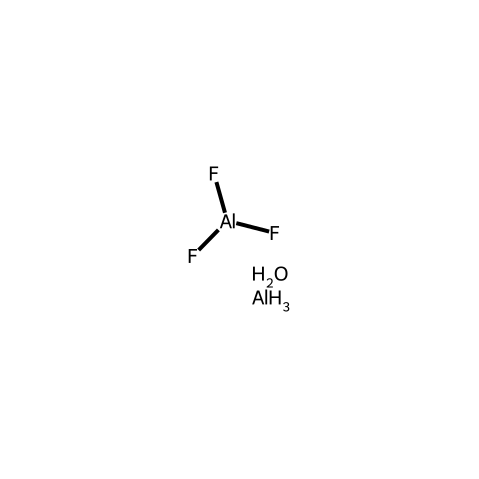 O.[AlH3].[F][Al]([F])[F]